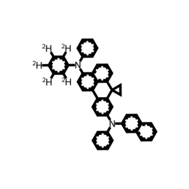 [2H]c1c([2H])c([2H])c(N(c2ccccc2)c2ccc3c4c(cccc24)C2(CC2)c2cc(N(c4ccccc4)c4ccc5ccccc5c4)ccc2-3)c([2H])c1[2H]